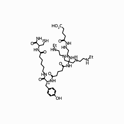 CCNCCNCC(CNCCNCC)(NCCNNC(=O)CCCC(=O)O)NC(=O)CCCC(=O)N[C@@H](Cc1ccc(O)cc1)C(=O)NCCCCCC(=O)NC(CS)C(N)=O